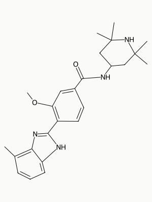 COc1cc(C(=O)NC2CC(C)(C)NC(C)(C)C2)ccc1-c1nc2c(C)cccc2[nH]1